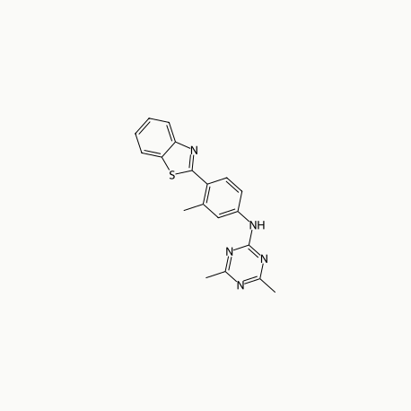 Cc1nc(C)nc(Nc2ccc(-c3nc4ccccc4s3)c(C)c2)n1